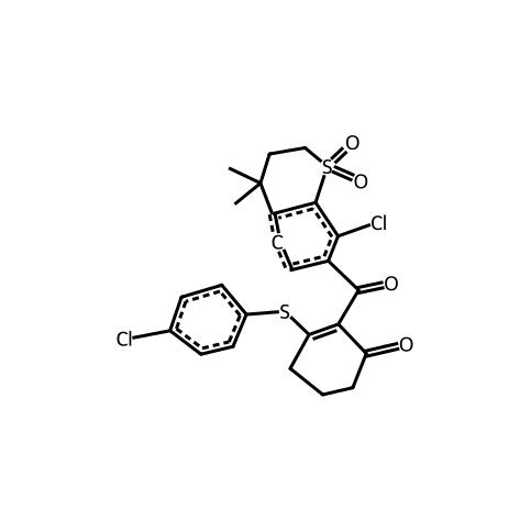 CC1(C)CCS(=O)(=O)c2c1ccc(C(=O)C1=C(Sc3ccc(Cl)cc3)CCCC1=O)c2Cl